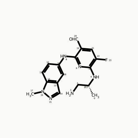 C[C@H](CN)Nc1nc(Nc2ccc3c(cnn3C)c2)c(C=O)cc1F